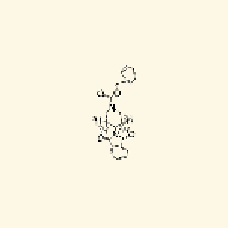 [2H]C1([2H])CN(C(=O)OCc2ccccc2)CC([2H])([2H])C1N1C(=O)c2ccccc2C1=O